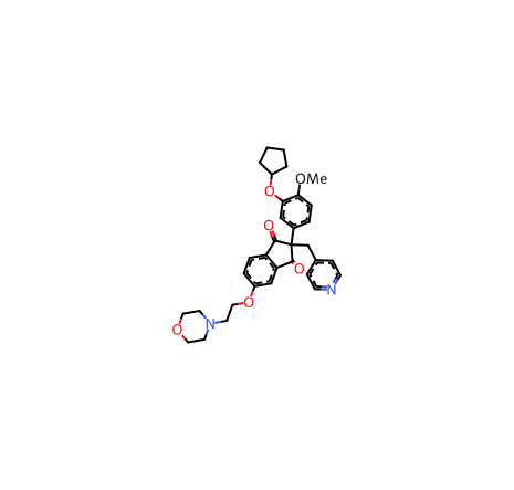 COc1ccc(C2(Cc3ccncc3)C(=O)c3ccc(OCCN4CCOCC4)cc3C2=O)cc1OC1CCCC1